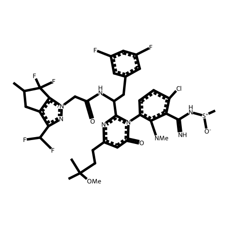 CNc1c(-n2c(C(Cc3cc(F)cc(F)c3)NC(=O)Cn3nc(C(F)F)c4c3C(F)(F)C(C)C4)nc(CCC(C)(C)OC)cc2=O)ccc(Cl)c1C(=N)N[S+](C)[O-]